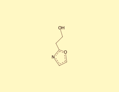 OCCc1ncco1